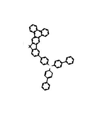 CC1(C)c2ccc(-c3ccc(N(c4ccc(-c5ccccc5)cc4)C4C=CC(c5ccccc5)=CC4)cc3)cc2-c2cc3c4ccccc4c4ccccc4c3cc21